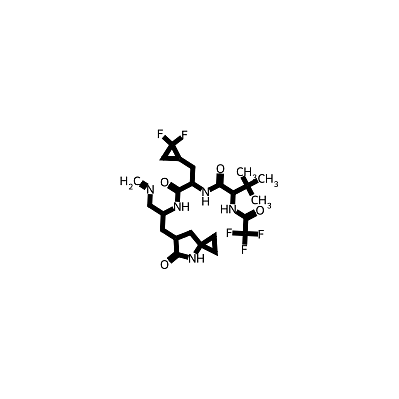 C=NCC(CC1CC2(CC2)NC1=O)NC(=O)C(CC1CC1(F)F)NC(=O)C(NC(=O)C(F)(F)F)C(C)(C)C